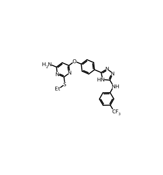 CCSc1nc(N)cc(Oc2ccc(-c3nnc(Nc4cccc(C(F)(F)F)c4)[nH]3)cc2)n1